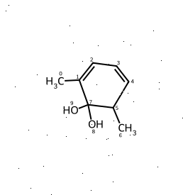 CC1=CC=CC(C)C1(O)O